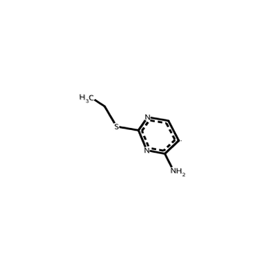 CCSc1nc[c]c(N)n1